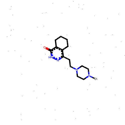 CCN1CCN(CCc2n[nH]c(=O)c3c2CCCC3)CC1